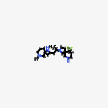 CC(C)N1CCCC2(CC(CC(C)N3CCC4(CNCCC4(F)F)C3)N2)C1